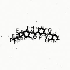 CN(C(=O)c1cccnc1Cl)c1cccc(C(=O)Nc2c(I)cc(C(F)(C(F)(F)F)C(F)(F)C(F)(F)F)cc2I)c1F